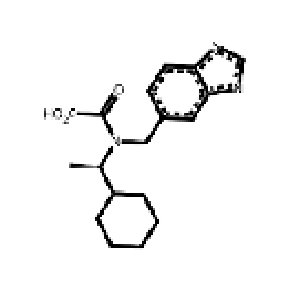 C[C@H](C1CCCCC1)N(Cc1ccc2scnc2c1)C(=O)C(=O)O